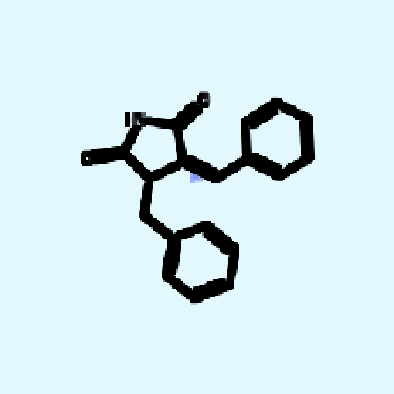 O=C1NC(=O)C(Cc2ccccc2)/C1=C/c1ccccc1